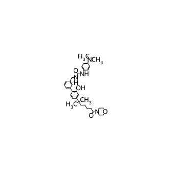 CN(C)c1ccc(NC(=O)NCc2cccc(-c3ccc(C(C)(C)CCCCC(=O)N4CCOCC4)cc3O)c2)cc1